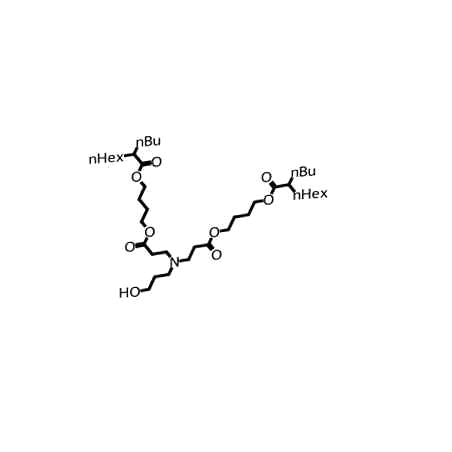 CCCCCCC(CCCC)C(=O)OCCCCOC(=O)CCN(CCCO)CCC(=O)OCCCCOC(=O)C(CCCC)CCCCCC